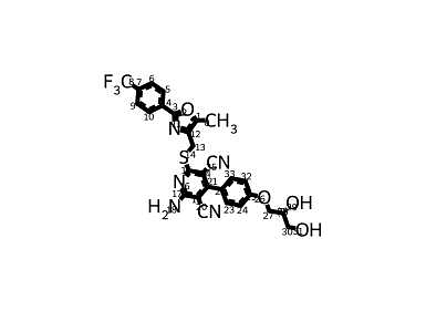 Cc1oc(-c2ccc(C(F)(F)F)cc2)nc1CSc1nc(N)c(C#N)c(-c2ccc(OC[C@@H](O)CO)cc2)c1C#N